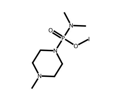 CN1CCN(P(=O)(OI)N(C)C)CC1